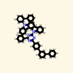 C1=C(c2ccccc2)C(n2c3ccccc3c3c2ccc2c4ccccc4n(-c4nc(-c5ccccc5)nc(-c5ccc(-c6cccc(-c7ccccc7)c6)cc5)n4)c23)=CCC1